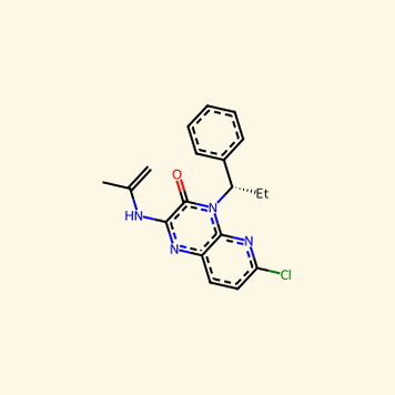 C=C(C)Nc1nc2ccc(Cl)nc2n([C@@H](CC)c2ccccc2)c1=O